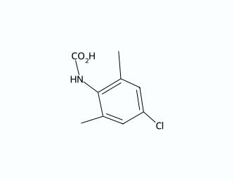 Cc1cc(Cl)cc(C)c1NC(=O)O